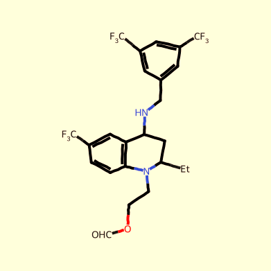 CCC1CC(NCc2cc(C(F)(F)F)cc(C(F)(F)F)c2)c2cc(C(F)(F)F)ccc2N1CCOC=O